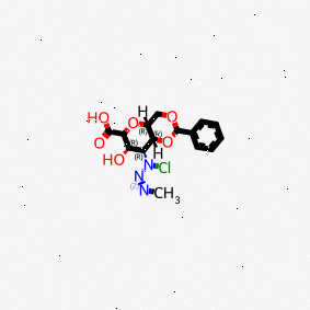 C/N=N\N(Cl)[C@H]1[C@H]2OC(c3ccccc3)OC[C@H]2OC(C(=O)O)[C@@H]1O